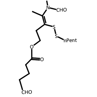 CCCCCSS/C(CCOC(=O)CCCC=O)=C(/C)N(C)C=O